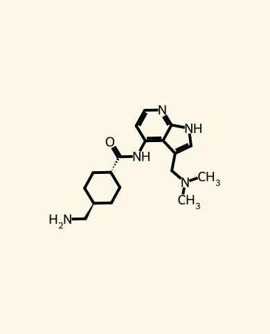 CN(C)Cc1c[nH]c2nccc(NC(=O)[C@H]3CC[C@H](CN)CC3)c12